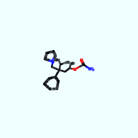 CCCCC(CCC)C(CC(CCC)OC(N)=O)(Cn1cccc1)c1ccccc1